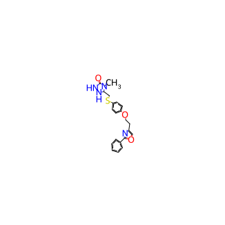 CN1C(=O)NNC1CSc1ccc(OCCc2coc(-c3ccccc3)n2)cc1